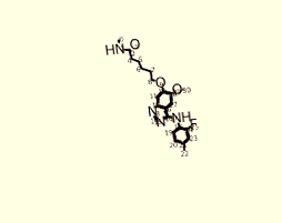 CNC(=O)CCCCCOc1cc2ncnc(Nc3ccc(C)cc3F)c2cc1OC